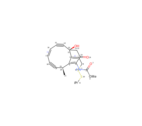 COC(=O)NC1=C2/C(=C\CSSC(C)C)[C@](O)(C#C/C=C\C#C[C@@H]2C)CC1=O